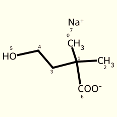 CC(C)(CCO)C(=O)[O-].[Na+]